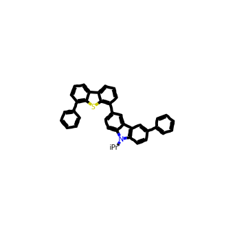 CC(C)n1c2ccc(-c3ccccc3)cc2c2cc(-c3cccc4c3sc3c(-c5ccccc5)cccc34)ccc21